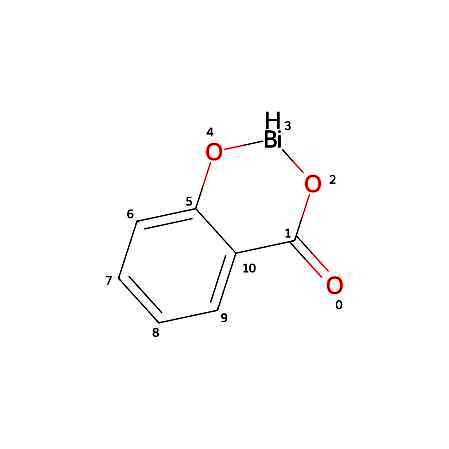 O=C1[O][BiH][O]c2ccccc21